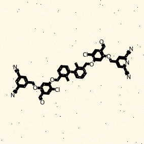 Cc1c(COc2cc(OCc3cc(C#N)cc(C#N)c3)c(C=O)cc2Cl)cccc1-c1cccc(COc2cc(OCc3cc(C#N)nc(C#N)c3)c(C=O)cc2Cl)c1C